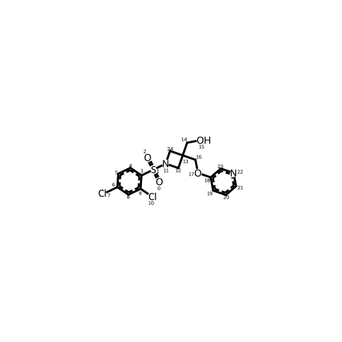 O=S(=O)(c1ccc(Cl)cc1Cl)N1CC(CO)(COc2cccnc2)C1